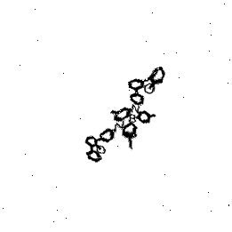 Cc1ccc2c(c1)N(c1ccc(-c3cccc4c3oc3ccccc34)cc1)c1cc(C)cc3c1B2c1ccc(C)cc1N3c1ccc(-c2cccc3c2oc2ccccc23)cc1